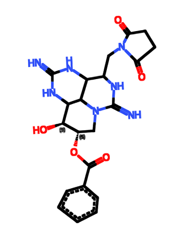 N=C1NC2C(CN3C(=O)CCC3=O)NC(=N)N3C[C@H](OC(=O)c4ccccc4)[C@@H](O)C(N1)C23